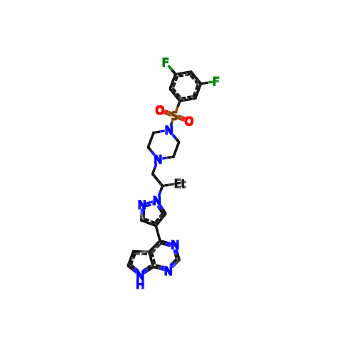 CCC(CN1CCN(S(=O)(=O)c2cc(F)cc(F)c2)CC1)n1cc(-c2ncnc3[nH]ccc23)cn1